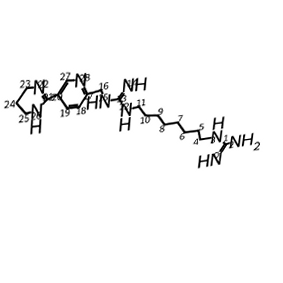 N=C(N)NCCCCCCCCNC(=N)NCc1ccc(C2=NCCCN2)cn1